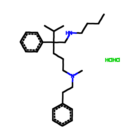 CCCCNCC(CCCN(C)CCc1ccccc1)(c1ccccc1)C(C)C.Cl.Cl